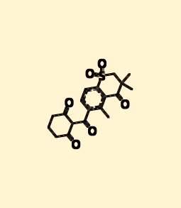 Cc1c(C(=O)C2C(=O)CCCC2=O)ccc2c1C(=O)C(C)(C)CS2(=O)=O